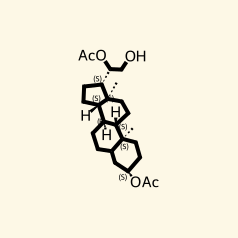 CC(=O)OC(CO)[C@H]1CC[C@H]2[C@@H]3CCC4C[C@@H](OC(C)=O)CC[C@]4(C)[C@H]3CC[C@]12C